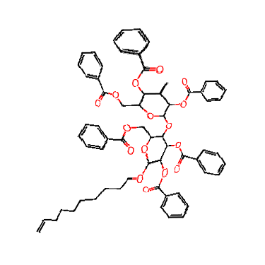 C=CCCCCCCCCOC1OC(COC(=O)c2ccccc2)C(OC2OC(COC(=O)c3ccccc3)C(OC(=O)c3ccccc3)C(C)C2OC(=O)c2ccccc2)C(OC(=O)c2ccccc2)C1OC(=O)c1ccccc1